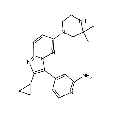 CC1(C)CN(c2ccc3nc(C4CC4)c(-c4ccnc(N)c4)n3n2)CCN1